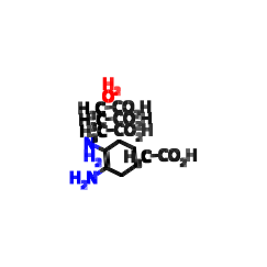 CC(=O)O.CC(=O)O.CC(=O)O.CC(=O)O.NC1=C(N)CCCC1.O